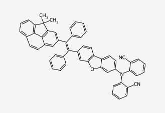 CC1(C)c2cccc3ccc4cc(/C(=C(\c5ccccc5)c5ccc6c(c5)oc5cc(N(c7ccccc7C#N)c7ccccc7C#N)ccc56)c5ccccc5)cc1c4c23